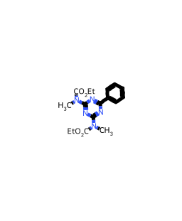 CCOC(=O)N(C)c1nc(-c2ccccc2)nc(N(C)C(=O)OCC)n1